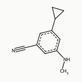 CNc1cc(C#N)cc(C2CC2)c1